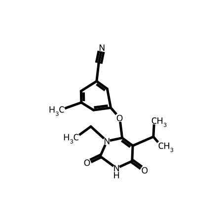 CCn1c(Oc2cc(C)cc(C#N)c2)c(C(C)C)c(=O)[nH]c1=O